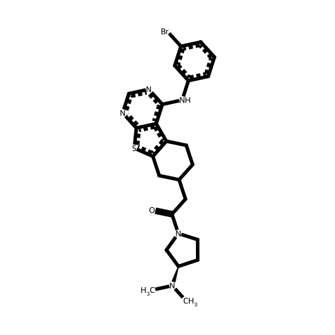 CN(C)[C@@H]1CCN(C(=O)CC2CCc3c(sc4ncnc(Nc5cccc(Br)c5)c34)C2)C1